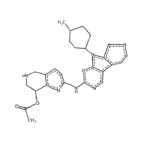 CC(=O)OC1CNCc2ccc(Nc3ncc4c5ccncc5n(C5CCC(C)CC5)c4n3)nc21